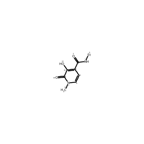 [CH2]CNC(=O)c1ccn(C)c(=O)c1O